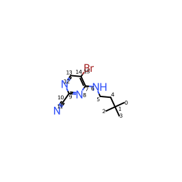 CC(C)(C)CCNc1nc(C#N)ncc1Br